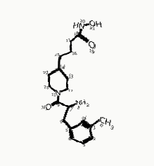 Cc1cccc(CC(N)C(=O)N2CCC(CCCC(=O)NO)CC2)c1